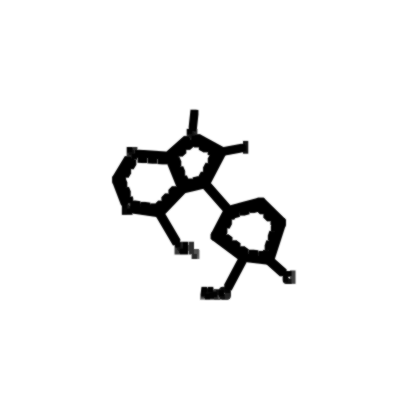 COc1cc(-c2c(I)n(C)c3ncnc(N)c23)ccc1Cl